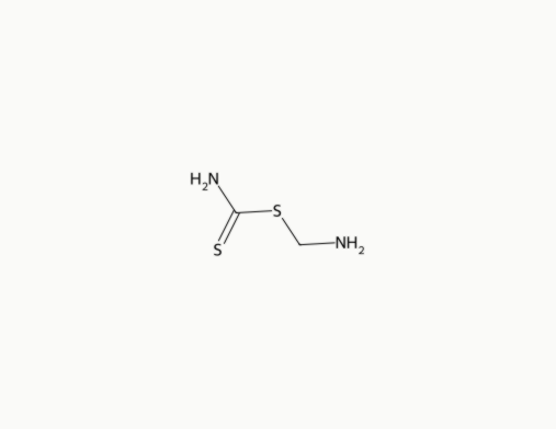 NCSC(N)=S